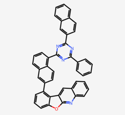 c1ccc(-c2nc(-c3ccc4ccccc4c3)nc(-c3cccc4cc(-c5cccc6oc7nc8ccccc8cc7c56)ccc34)n2)cc1